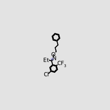 CC/C(=N\OCCCc1ccccc1)c1cc(Cl)ccc1C(F)(F)F